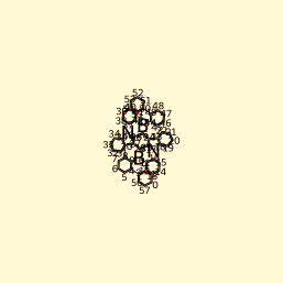 c1ccc(-c2ccccc2B2c3ccccc3-n3c4ccccc4c4c5c6c(c2c43)c2ccccc2n6-c2ccccc2B5c2ccccc2-c2ccccc2)cc1